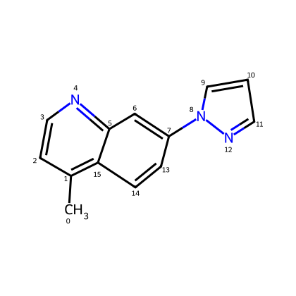 Cc1ccnc2cc(-n3cccn3)ccc12